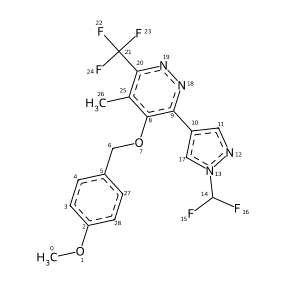 COc1ccc(COc2c(-c3cnn(C(F)F)c3)nnc(C(F)(F)F)c2C)cc1